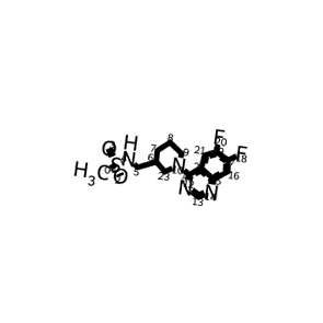 CS(=O)(=O)NCC1CCCN(c2ncnc3cc(F)c(F)cc23)C1